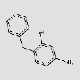 Nc1ccc(Cc2ccccc2)c(S)c1